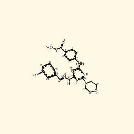 O=[N+](OO)c1ccc(Nc2nc(N/N=C/c3cccc(F)c3)nc(N3CCOCC3)n2)cc1